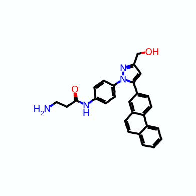 NCCC(=O)Nc1ccc(-n2nc(CO)cc2-c2ccc3c(ccc4ccccc43)c2)cc1